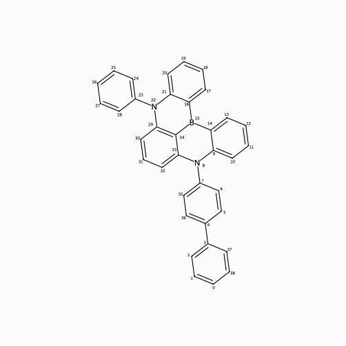 c1ccc(-c2ccc(N3c4ccccc4B4c5ccccc5N(c5ccccc5)c5cccc3c54)cc2)cc1